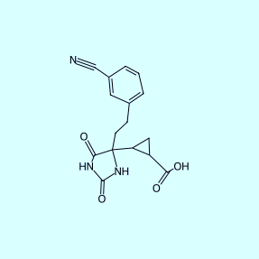 N#Cc1cccc(CCC2(C3CC3C(=O)O)NC(=O)NC2=O)c1